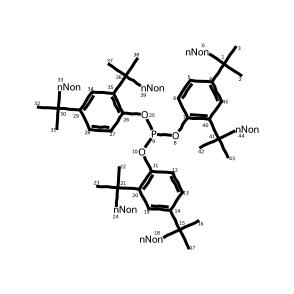 CCCCCCCCCC(C)(C)c1ccc(OP(Oc2ccc(C(C)(C)CCCCCCCCC)cc2C(C)(C)CCCCCCCCC)Oc2ccc(C(C)(C)CCCCCCCCC)cc2C(C)(C)CCCCCCCCC)c(C(C)(C)CCCCCCCCC)c1